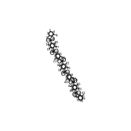 Cc1cccc(C)c1OC(=O)c1c(C)c(C)c(C(=O)Oc2cc(C)c(OC(=O)c3c(C)c(C)c(C(=O)Oc4cc(C)c(OC(=O)c5c(C)c(C)c(C(=O)Oc6c(C)cccc6C)c(C)c5C)c(C)c4)c(C)c3C)c(C)c2)c(C)c1C